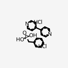 Cl.Cl.O=P(O)(O)Cc1ccccc1.c1cc(-c2ccncc2)ccn1